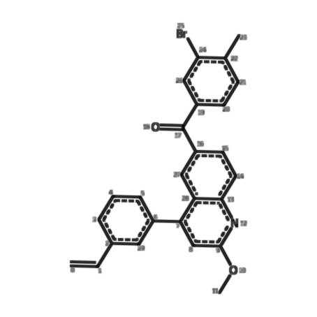 C=Cc1cccc(-c2cc(OC)nc3ccc(C(=O)c4ccc(C)c(Br)c4)cc23)c1